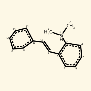 C[SiH](C)c1ccccc1/C=C/c1ccccc1